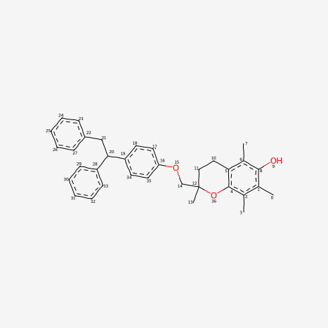 Cc1c(C)c2c(c(C)c1O)CCC(C)(COc1[c]cc(C(Cc3ccccc3)c3ccccc3)cc1)O2